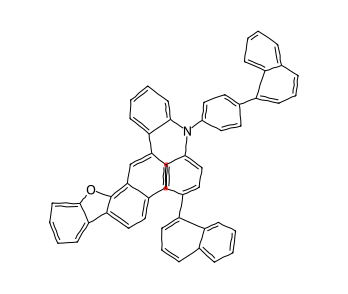 c1ccc(N(c2ccc(-c3cccc4ccccc34)cc2)c2ccc(-c3cccc4ccccc34)cc2)c(-c2ccc3ccc4c5ccccc5oc4c3c2)c1